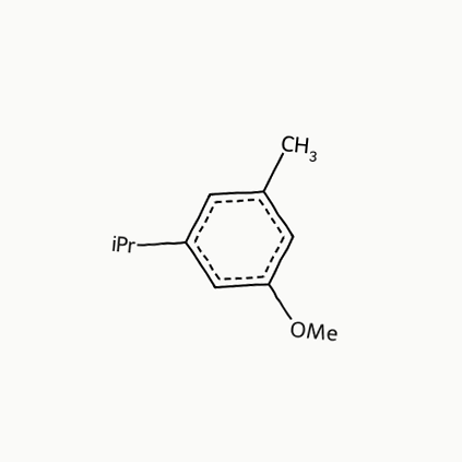 [CH2]C(C)c1cc(C)cc(OC)c1